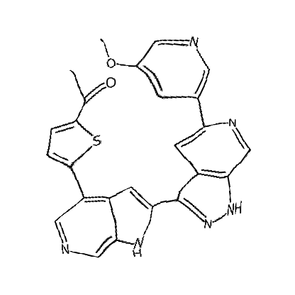 COc1cncc(-c2cc3c(-c4cc5c(-c6ccc(C(C)=O)s6)cncc5[nH]4)n[nH]c3cn2)c1